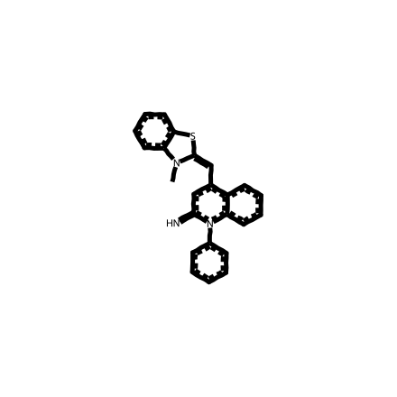 CN1/C(=C\c2cc(=N)n(-c3ccccc3)c3ccccc23)Sc2ccccc21